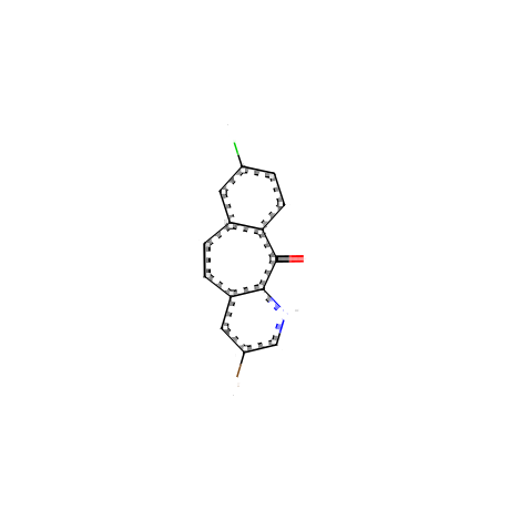 O=c1c2ccc(Cl)cc2ccc2cc(Br)cnc12